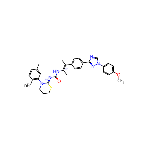 CCCc1ccc(C)cc1N1CCCS/C1=N\C(=O)N/C(C)=C(\C)c1ccc(-c2ncn(-c3ccc(OC(F)(F)F)cc3)n2)cc1